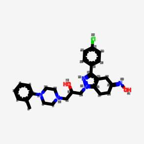 Cc1ccccc1N1CCN(CC(O)Cn2nc(-c3ccc(Cl)cc3)c3c2CCC(=NO)C3)CC1